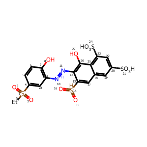 CCS(=O)(=O)c1ccc(O)c(/N=N/c2c([SH](=O)=O)cc3cc(S(=O)(=O)O)cc(S(=O)(=O)O)c3c2O)c1